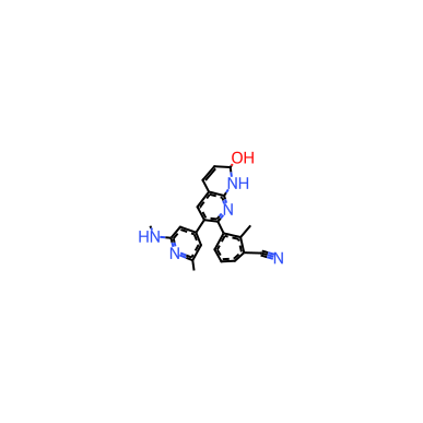 CNc1cc(-c2cc3c(nc2-c2cccc(C#N)c2C)NC(O)C=C3)cc(C)n1